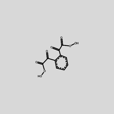 O=C(OO)C(=O)c1ccccc1C(=O)C(=O)OO